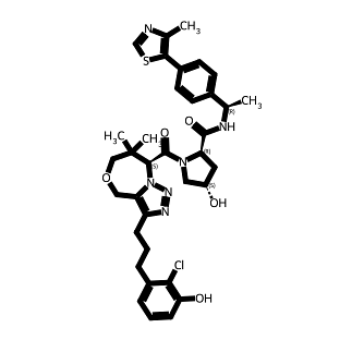 Cc1ncsc1-c1ccc([C@@H](C)NC(=O)[C@H]2C[C@H](O)CN2C(=O)[C@H]2n3nnc(CCCc4cccc(O)c4Cl)c3COCC2(C)C)cc1